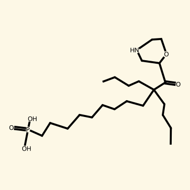 CCCCC(CCCC)(CCCCCCCCCP(=O)(O)O)C(=O)C1CNCCO1